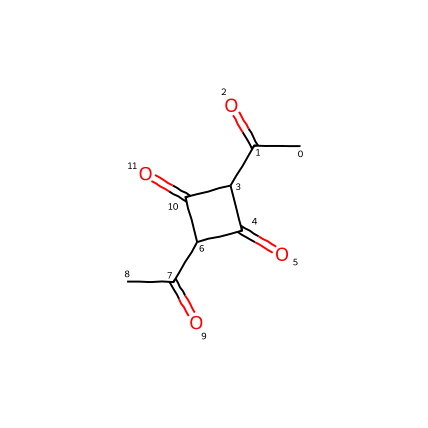 CC(=O)C1C(=O)C(C(C)=O)C1=O